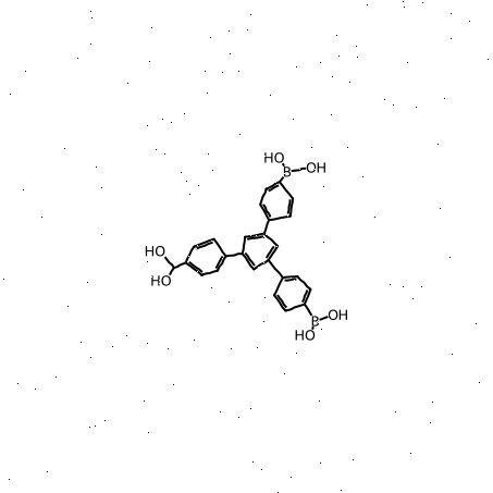 OB(O)c1ccc(-c2cc(-c3ccc(B(O)O)cc3)cc(-c3ccc(C(O)O)cc3)c2)cc1